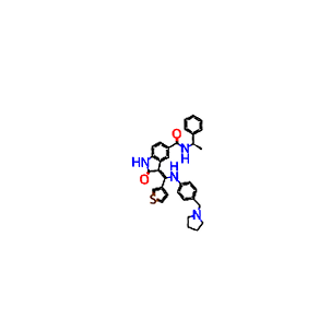 C[C@@H](NC(=O)c1ccc2c(c1)C(=C(Nc1ccc(CN3CCCC3)cc1)c1ccsc1)C(=O)N2)c1ccccc1